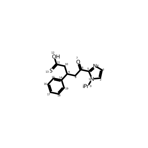 CC(C)n1ccnc1C(=O)CC(CC(O)=S)c1ccccc1